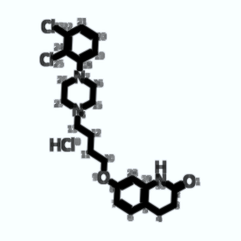 Cl.O=C1CCc2ccc(OCCCCN3CCN(c4cccc(Cl)c4Cl)CC3)cc2N1